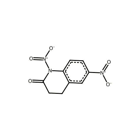 O=C1CCc2cc([N+](=O)[O-])ccc2N1[N+](=O)[O-]